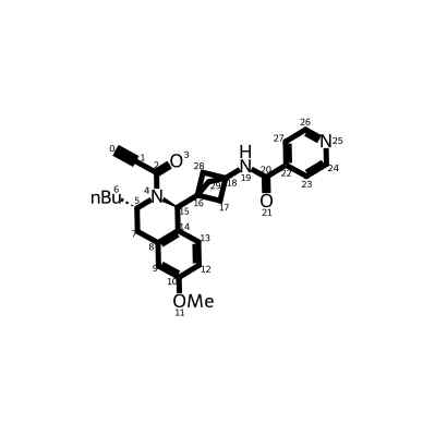 C#CC(=O)N1[C@@H](CCCC)Cc2cc(OC)ccc2[C@@H]1C12CC(NC(=O)c3ccncc3)(C1)C2